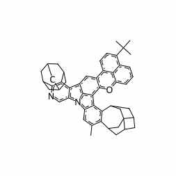 Cc1cc2c(c3c1C1CC4CC5CC3CC45C1)c1c3oc4cccc5c(C(C)(C)C)ccc(c3cc3c6c7c(ncc6n2c31)C1CC2CC(C1)CC7C2)c45